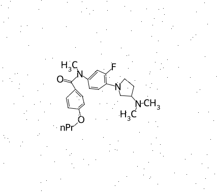 CCCOc1ccc(C(=O)N(C)c2ccc(N3CCC(N(C)C)C3)c(F)c2)cc1